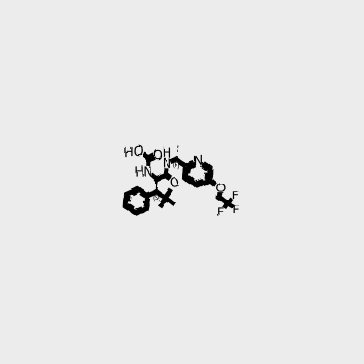 C[C@@H](NC(=O)C(NC(=O)O)[C@H](c1ccccc1)C(C)(C)C)c1ccc(OCC(F)(F)F)cn1